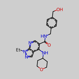 CCn1ncc2c(NC3CCOCC3)c(C(=O)NCc3ccc(CO)cc3)cnc21